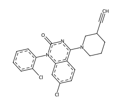 C#CC1CCCN(c2nc(=O)n(-c3ccccc3Cl)c3cc(Cl)ccc23)C1